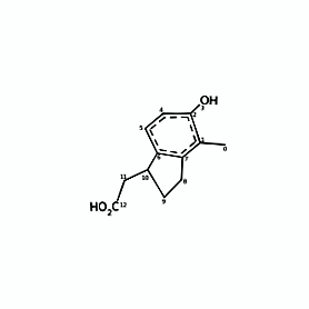 Cc1c(O)ccc2c1CCC2CC(=O)O